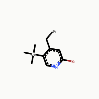 CC(C)Cc1cc(Br)nc[c]1[Ge]([CH3])([CH3])[CH3]